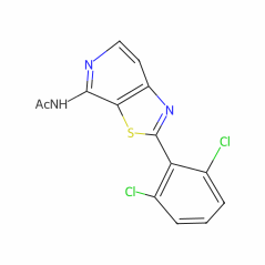 CC(=O)Nc1nccc2nc(-c3c(Cl)cccc3Cl)sc12